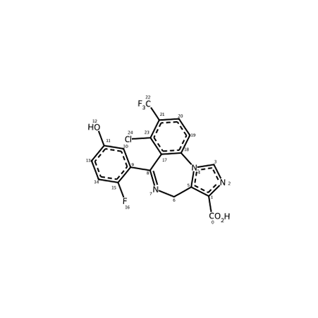 O=C(O)c1ncn2c1CN=C(c1cc(O)ccc1F)c1c-2ccc(C(F)(F)F)c1Cl